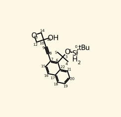 CC(C)(C)[SiH2]OC(C)(C)c1c(C#CC2(O)COC2)ccc2ccccc12